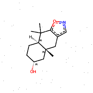 CC1(C)c2oncc2C[C@]2(C)C[C@H](O)CC[C@@H]12